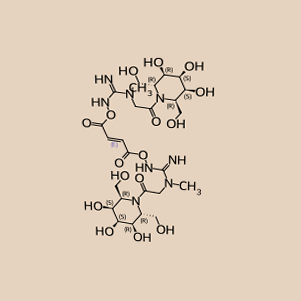 CN(CC(=O)N1[C@H](CO)[C@H](O)[C@H](O)[C@H](O)[C@H]1CO)C(=N)NOC(=O)/C=C/C(=O)ONC(=N)N(C)CC(=O)N1[C@H](CO)[C@H](O)[C@H](O)[C@H](O)[C@H]1CO